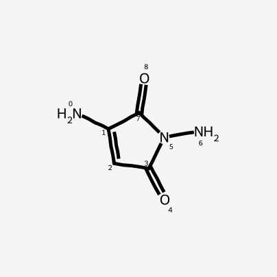 NC1=CC(=O)N(N)C1=O